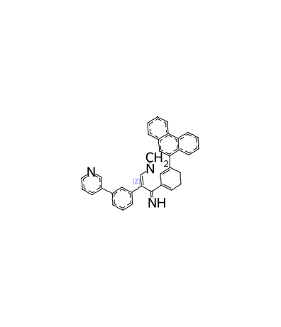 C=N/C=C(\C(=N)C1=CCCC(c2cc3ccccc3c3ccccc23)=C1)c1cccc(-c2cccnc2)c1